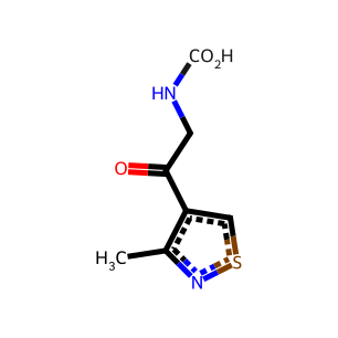 Cc1nscc1C(=O)CNC(=O)O